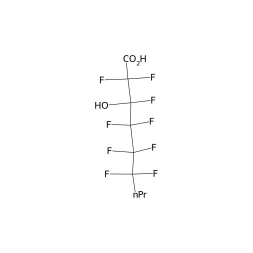 CCCC(F)(F)C(F)(F)C(F)(F)C(O)(F)C(F)(F)C(=O)O